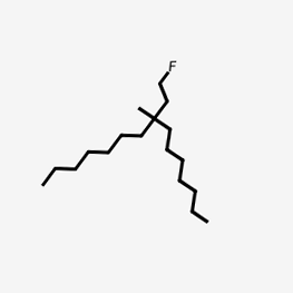 CCCCCCCC(C)(CCF)CCCCCCC